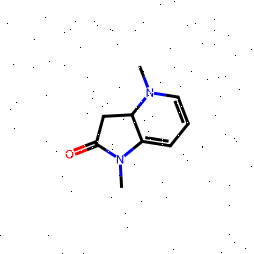 CN1C(=O)CC2C1=CC=CN2C